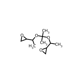 CC(OC(C)(C)OC(C)C1CO1)C1CO1